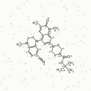 Cc1cc2c(N3CCN(C)c4ccc(C#N)cc43)cc(N3CCN(C(=O)OC(C)(C)C)CC3)cc2n(C)c1=O